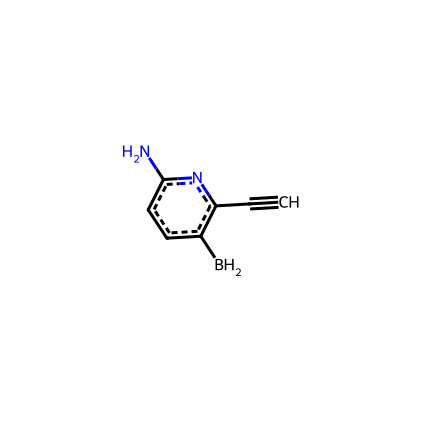 Bc1ccc(N)nc1C#C